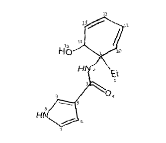 CCC1(NC(=O)c2cc[nH]c2)C=CC=CC1O